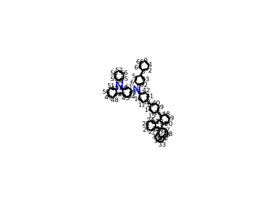 c1ccc(-c2ccc(N(c3ccc(-c4ccc(-c5cccc6c5-c5ccccc5C65C6CC7CC(C6)CC5C7)cc4)cc3)c3ccc4c5ccccc5n(-c5ccccc5)c4c3)cc2)cc1